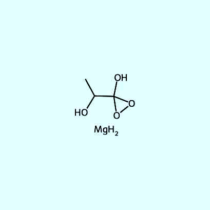 CC(O)C1(O)OO1.[MgH2]